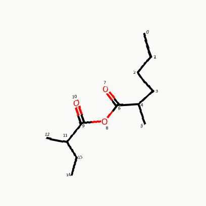 CCCCC(C)C(=O)OC(=O)C(C)CC